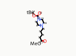 COC(=O)CCCCN1CCN(C(=O)OC(C)(C)C)CC1